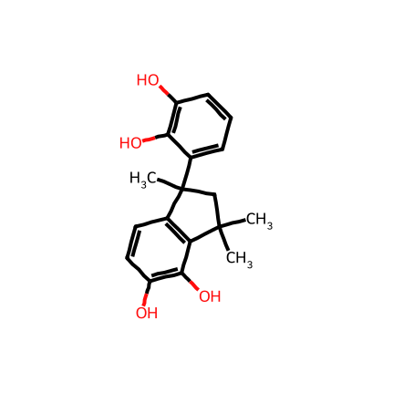 CC1(C)CC(C)(c2cccc(O)c2O)c2ccc(O)c(O)c21